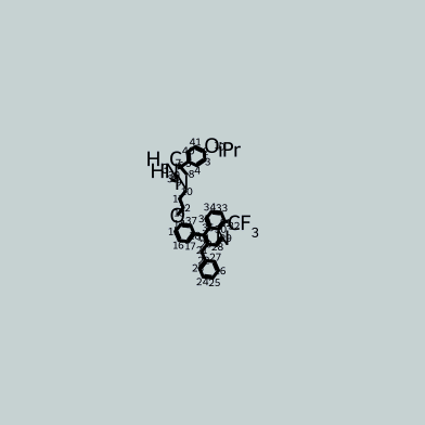 CC(C)Oc1ccc(C2(C)CN(CCCOc3cccc(-c4c(Cc5ccccc5)cnc5c(C(F)(F)F)cccc45)c3)CN2)cc1